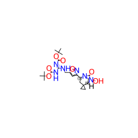 CC(C)(C)OC(=O)/N=C(\NCc1cc([C@@H]2CC3(CC3)[C@H]3CN2C(=O)N3O)no1)NC(=O)OC(C)(C)C